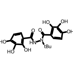 CC(C)(C)N(NC(=O)c1ccc(O)c(O)c1O)C(=O)c1ccc(O)c(O)c1O